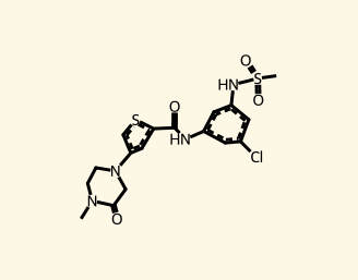 CN1CCN(c2csc(C(=O)Nc3cc(Cl)cc(NS(C)(=O)=O)c3)c2)CC1=O